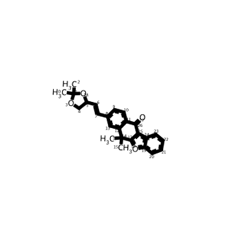 CC1(C)OCC(/C=C/c2ccc3c(c2)C(C)(C)c2oc4ccccc4c2C3=O)O1